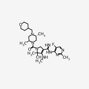 CNC1=C(C(=N)Nc2nc(C)ncc2F)CN(C(=O)N2C[C@@H](C)N(CC3CCOCC3)C[C@@H]2C)C1(C)C